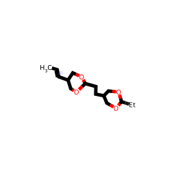 C/C=C/C1COC(CCC2COC(CC)OC2)OC1